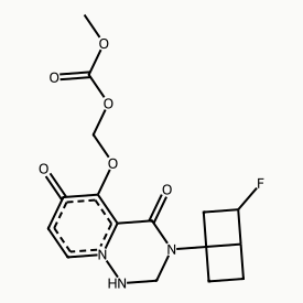 COC(=O)OCOc1c2n(ccc1=O)NCN(C13CCC1C(F)C3)C2=O